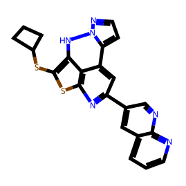 c1cnc2ncc(-c3cc4c5c(n3)sc(SC3CCC3)c5[nH]n3nccc43)cc2c1